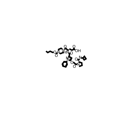 CCCCOC(=O)N1CCN(C(=O)[C@H](CCC(=O)O)NC(=O)c2cc(OCC(=O)N3CCC[C@H]3C(=O)N(C)C3CCC3)n(-c3ccccc3)n2)CC1